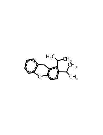 CC(C)c1ccc2c(c1C(C)C)Cc1ccccc1O2